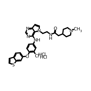 CN1CCC(CC(=O)NCCn2ccc3ncnc(Nc4ccc(Oc5ccc6ccsc6c5)c(Cl)c4)c32)CC1.Cl.Cl